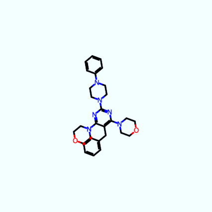 c1ccc(Cc2c(N3CCOCC3)nc(N3CCN(c4ccccc4)CC3)nc2N2CCOCC2)cc1